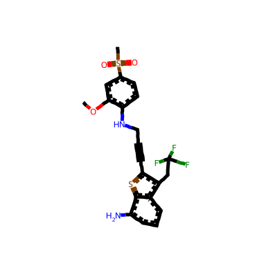 COc1cc(S(C)(=O)=O)ccc1NCC#Cc1sc2c(N)cccc2c1CC(F)(F)F